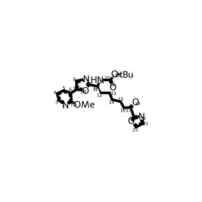 COc1ncccc1-c1cnc([C@H](CCCCCC(=O)c2ncco2)NC(=O)OC(C)(C)C)o1